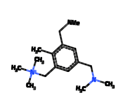 CNCc1cc(CN(C)C)cc(C[N+](C)(C)C)c1C